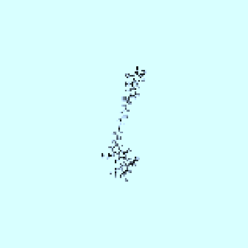 CCOc1cc(C(CS(C)(=O)=O)N2C(=O)c3cc(CCCCCCCCCCCCNc4cccc(NC5CCC(=O)NC5=O)c4)cc(N)c3C2=O)ccc1OC